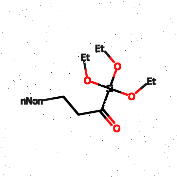 CCCCCCCCCCCC(=O)[Si](OCC)(OCC)OCC